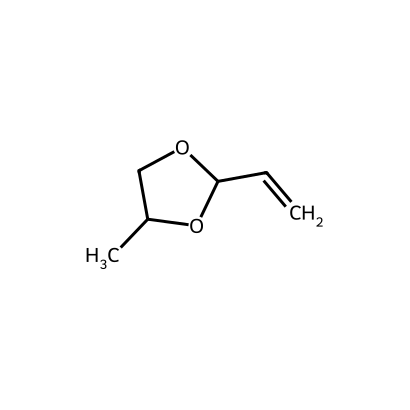 C=CC1OCC(C)O1